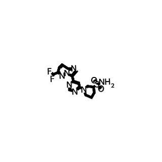 NS(=O)(=O)C1CCCN(c2cc(-c3cnc4ccc(C(F)F)nn34)ncn2)C1